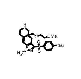 COCCOCC12CNCCC1=Cc1c(c(S(=O)(=O)c3ccc(C(C)(C)C)cc3)nn1C)C2